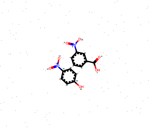 O=C(O)c1cccc([N+](=O)[O-])c1.O=[N+]([O-])c1ccc(O)cc1